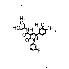 CCC(CO)NC(=O)c1cc(-c2ccc(C)c(C)c2)nn(-c2cccc(F)c2)c1=O